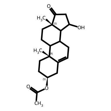 CC(=O)O[C@H]1CC[C@@]2(C)C(=CCC3C2CC[C@]2(C)C(=O)CC(O)C32)C1